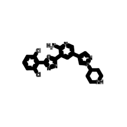 Nc1ncc(-c2cnn(C3CCNCC3)c2)cc1-c1nnc(-c2c(Cl)cccc2Cl)o1